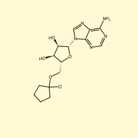 Nc1ncnc2c1ncn2[C@@H]1O[C@H](COC2(Cl)CCCC2)[C@@H](O)[C@H]1O